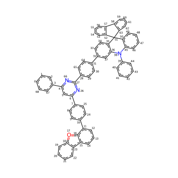 c1ccc(-c2cc(-c3ccc(-c4cccc5c4oc4ccccc45)cc3)nc(-c3ccc(-c4ccc5c(c4)N(c4ccccc4)c4ccccc4C54c5ccccc5-c5ccccc54)cc3)n2)cc1